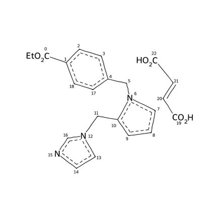 CCOC(=O)c1ccc(Cn2cccc2Cn2ccnc2)cc1.O=C(O)C=CC(=O)O